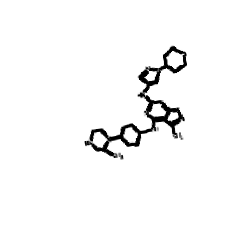 Cc1nsc2nc(Nc3cnn(C4CCOCC4)c3)nc(NC3CCC(N4CCNCC4C)CC3)c12